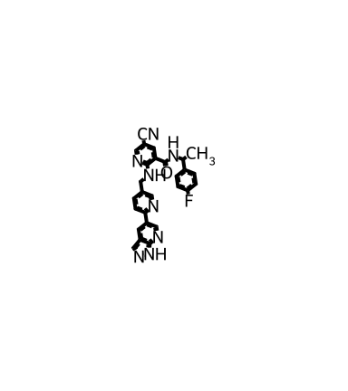 CC(NC(=O)c1cc(C#N)cnc1NCc1ccc(-c2cnc3[nH]ncc3c2)nc1)c1ccc(F)cc1